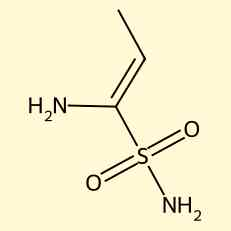 C/C=C(\N)S(N)(=O)=O